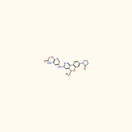 CC1Oc2cc(N3CCCC3=O)ccc2-c2cnc(Nc3cnc4c(c3)NC(=O)CO4)cc21